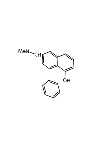 CNC.Oc1cccc2ccccc12.c1ccccc1